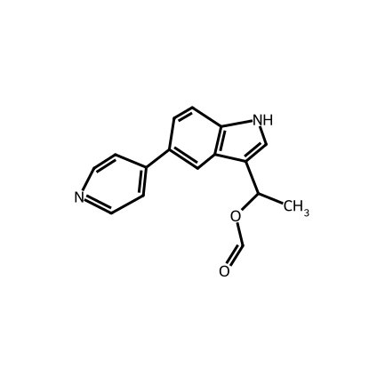 CC(OC=O)c1c[nH]c2ccc(-c3ccncc3)cc12